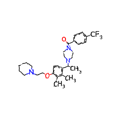 Cc1c(OCCN2CCCCC2)ccc(C(C)N2CCN(C(=O)c3ccc(C(F)(F)F)cc3)CC2)c1C